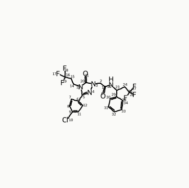 O=C(Cn1nc(-c2ccc(Cl)cc2)n(CCC(F)(F)F)c1=O)NC(CC(F)(F)F)c1ccccc1